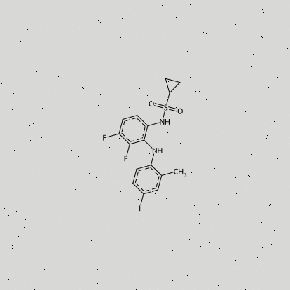 Cc1cc(I)ccc1Nc1c(NS(=O)(=O)C2CC2)ccc(F)c1F